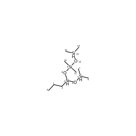 CCC[SiH](O[SiH](C)C)O[Si](C)(C)O[SiH](C)C